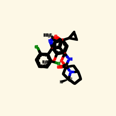 O=C(O)c1ccc(NC(=O)N2C3CC[C@H]2CC(OCc2c(-c4c(Cl)cccc4Cl)noc2C2CC2)C3)c(OC(F)(F)F)c1